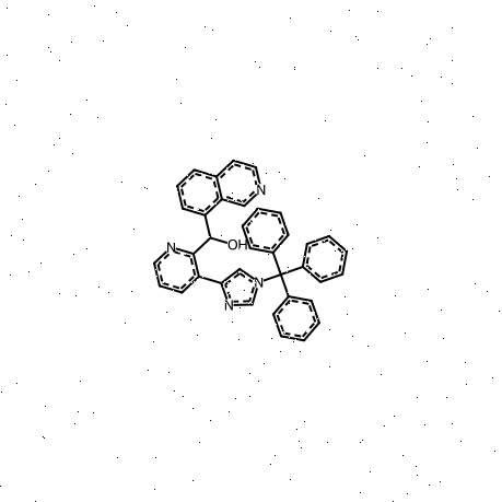 OC(c1ncccc1-c1cn(C(c2ccccc2)(c2ccccc2)c2ccccc2)cn1)c1cccc2ccncc12